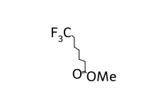 COC(=O)CCCCCC(F)(F)F